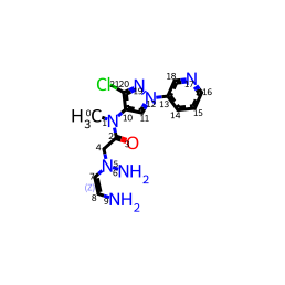 CN(C(=O)CN(N)/C=C\N)c1cn(-c2cccnc2)nc1Cl